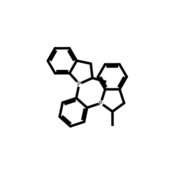 CC1Cc2ccccc2P1c1ccccc1P1c2ccccc2CC1C